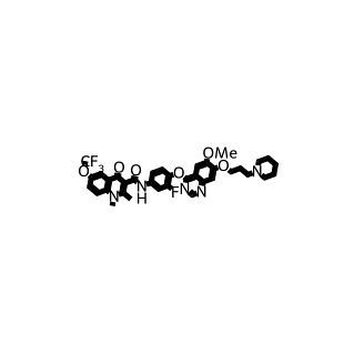 COc1cc2c(Oc3ccc(NC(=O)c4c(C)n(C)c5ccc(OC(F)(F)F)cc5c4=O)cc3F)ncnc2cc1OCCCN1CCCCC1